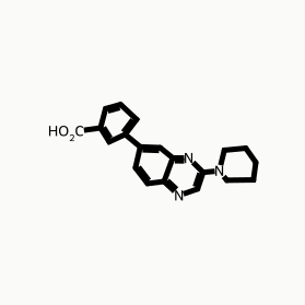 O=C(O)c1cccc(-c2ccc3ncc(N4CCCCC4)nc3c2)c1